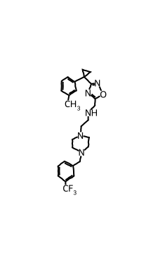 Cc1cccc(C2(c3noc(CNCCN4CCN(Cc5cccc(C(F)(F)F)c5)CC4)n3)CC2)c1